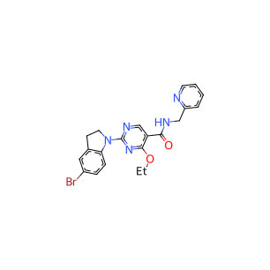 CCOc1nc(N2CCc3cc(Br)ccc32)ncc1C(=O)NCc1ccccn1